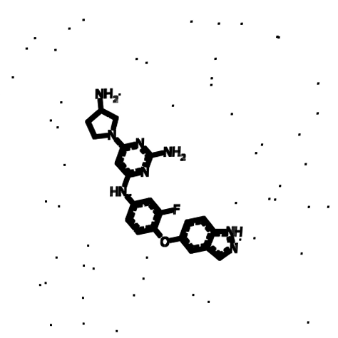 Nc1nc(Nc2ccc(Oc3ccc4[nH]ncc4c3)c(F)c2)cc(N2CCC(N)C2)n1